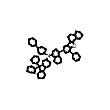 c1ccc(-c2ccc(N(c3ccc4c(c3)C(c3ccccc3)(c3ccccc3)c3ccccc3-4)c3ccc(-c4cc(-c5ccccc5)c5oc6c7ccccc7ccc6c5c4)c4ccccc34)cc2)cc1